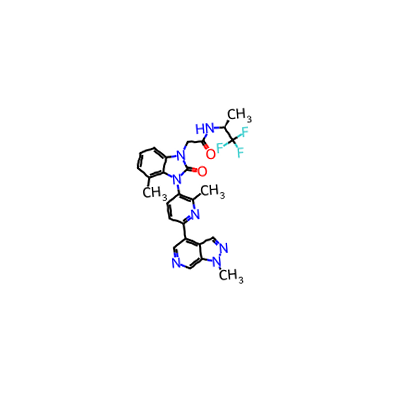 Cc1nc(-c2cncc3c2cnn3C)ccc1-n1c(=O)n(CC(=O)N[C@@H](C)C(F)(F)F)c2cccc(C)c21